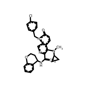 C=C(NC1CCOc2ccccc21)c1ncc2c(ccc(=O)n2Cc2ccc(Cl)cc2)c1N(C)C1CC1